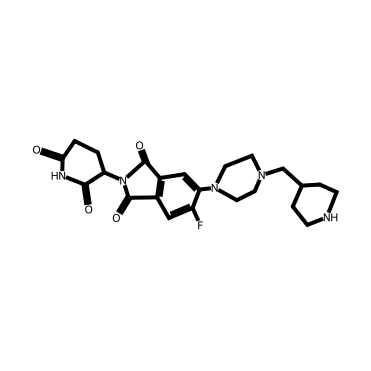 O=C1CCC(N2C(=O)c3cc(F)c(N4CCN(CC5CCNCC5)CC4)cc3C2=O)C(=O)N1